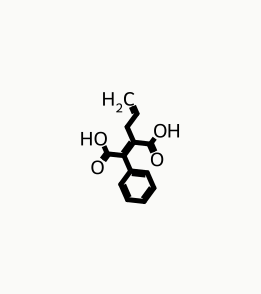 C=CCC(C(=O)O)=C(C(=O)O)c1ccccc1